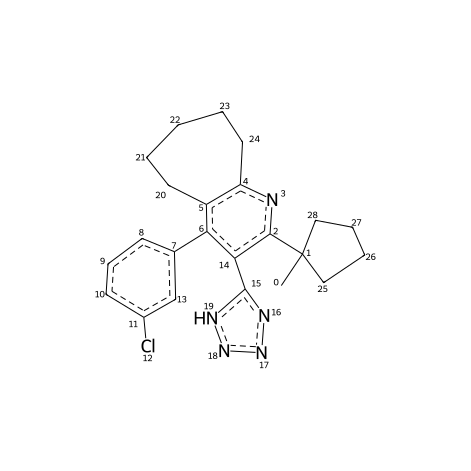 CC1(c2nc3c(c(-c4cccc(Cl)c4)c2-c2nnn[nH]2)CCCCC3)CCCC1